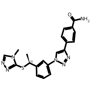 C[C@H](Sc1nncn1C)c1cccc(-n2cc(-c3ccc(C(N)=O)cc3)nn2)c1